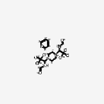 O=CNC(N1CCN(C(NC=O)C(Cl)(Cl)Cl)CC1)C(Cl)(Cl)Cl.c1ccncc1